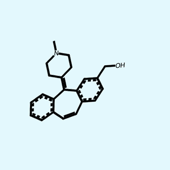 CN1CCC(=C2c3ccccc3C=Cc3ccc(CO)cc32)CC1